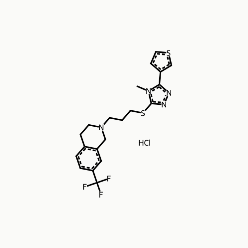 Cl.Cn1c(SCCCN2CCc3ccc(C(F)(F)F)cc3C2)nnc1-c1ccsc1